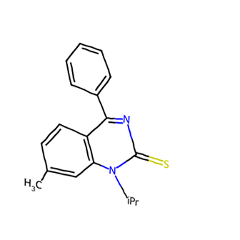 Cc1ccc2c(-c3ccccc3)nc(=S)n(C(C)C)c2c1